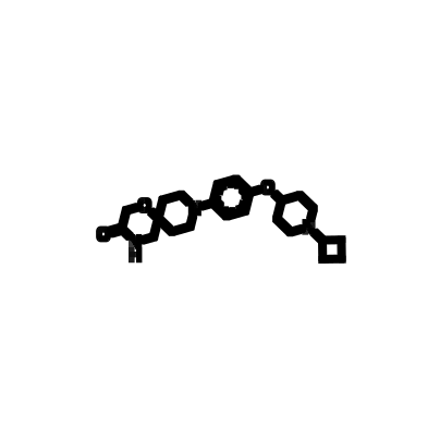 O=C1COC2(CCN(c3ccc(OC4CCN(C5CCC5)CC4)cc3)CC2)CN1